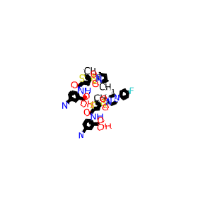 Cc1sc(C(=O)Nc2ccc(C#N)cc2C(=O)O)cc1S(=O)(=O)N1CCCC1C.Cc1sc(C(=O)Nc2ccc(C#N)cc2C(=O)O)cc1S(=O)(=O)N1CCN(c2ccc(F)cc2)CC1